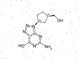 Nc1nc(O)c2nnn([C@H]3CC[C@@H](CO)C3)c2n1